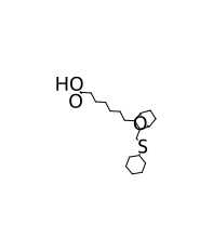 O=C(O)CCCCCCC1C2CCC(O2)C1CSC1CCCCC1